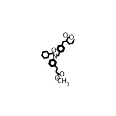 COC(=O)CCc1cccc(N(Cc2ccc(CC3CCCOC3=O)cc2)C(=O)C2CCCCC2)c1